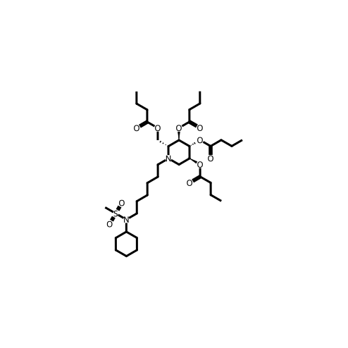 CCCC(=O)OC[C@@H]1[C@@H](OC(=O)CCC)[C@H](OC(=O)CCC)[C@@H](OC(=O)CCC)CN1CCCCCCN(C1CCCCC1)S(C)(=O)=O